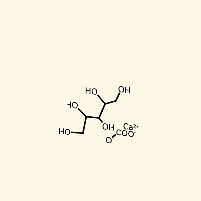 O=C([O-])[O-].OCC(O)C(O)C(O)CO.[Ca+2]